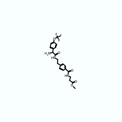 COC(=O)CCNC(=O)c1ccc(CCNC(=O)C(N)c2ccc(OC(F)(F)F)cc2)cc1